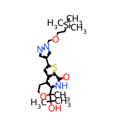 CC(C)(O)C1(C)OCCc2c1[nH]c(=O)c1sc(-c3cnn(COCC[Si](C)(C)C)c3)cc21